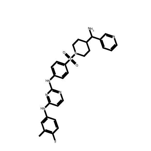 Cc1cc(Nc2ccnc(Nc3ccc(S(=O)(=O)N4CCC(C(N)c5cccnc5)CC4)cc3)n2)ccc1F